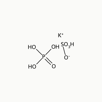 O=P(O)(O)O.O=S(=O)([O-])O.[K+]